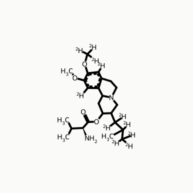 [2H]c1c2c(c([2H])c(OC)c1OC([2H])([2H])[2H])C1CC(OC(=O)[C@@H](N)C(C)C)C(C([2H])([2H])C([2H])(C)C([2H])([2H])[2H])CN1CC2